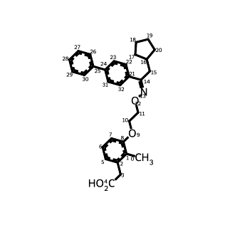 Cc1c(CC(=O)O)cccc1OCCON=C(CC1CCCC1)c1ccc(-c2ccccc2)cc1